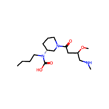 CCCCN(C(=O)O)[C@@H]1CCCN(C(=O)CC(CNC)OC)C1